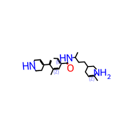 C=C(C1=CCNCC1)/C(C)=C\C(=C/C)C(=O)NC(C)CCC(CC)C/C=C(/C)N